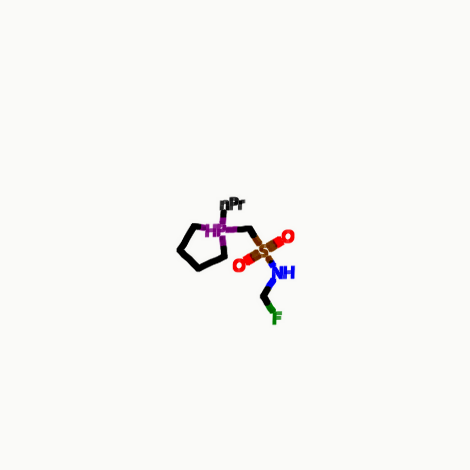 CCC[PH]1(CS(=O)(=O)NCF)CCCC1